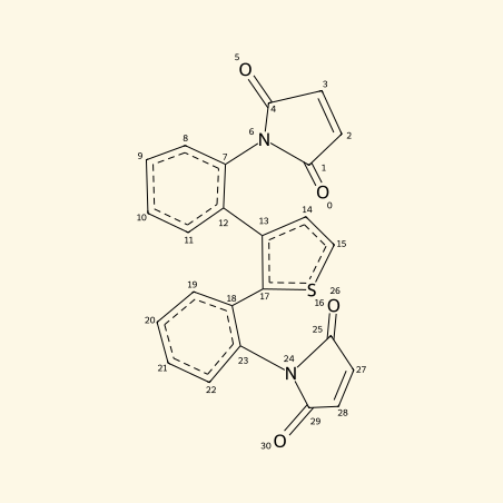 O=C1C=CC(=O)N1c1ccccc1-c1ccsc1-c1ccccc1N1C(=O)C=CC1=O